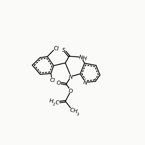 C=C(C)OC(=O)N1c2ncccc2NC(=S)C1c1c(Cl)cccc1Cl